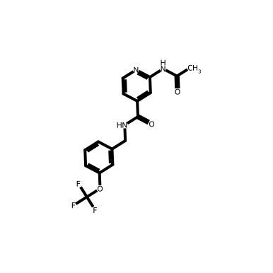 CC(=O)Nc1cc(C(=O)NCc2cccc(OC(F)(F)F)c2)ccn1